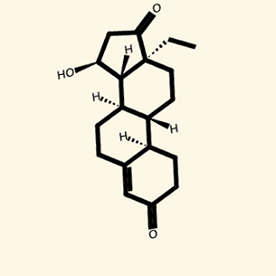 CC[C@]12CC[C@H]3[C@@H](CCC4=CC(=O)CC[C@@H]43)[C@@H]1[C@@H](O)CC2=O